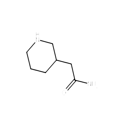 NC(=O)CC1CCCNC1